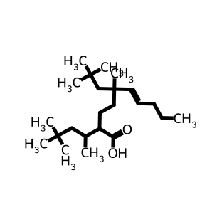 CCCC=CC(C)(CCC(C(=O)O)C(C)CC(C)(C)C)CC(C)(C)C